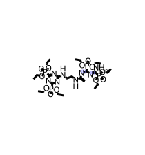 C=C(/N=C(\N=C(/N)P(=O)(OCC)OCC)P(=O)(OCC)OCC)NCCNc1nc(P(=O)(OCC)OCC)nc(P(=O)(OCC)OCC)n1